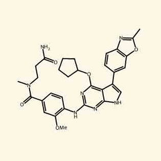 COc1cc(C(=O)N(C)CCC(N)=O)ccc1Nc1nc(OC2CCCC2)c2c(-c3ccc4nc(C)oc4c3)c[nH]c2n1